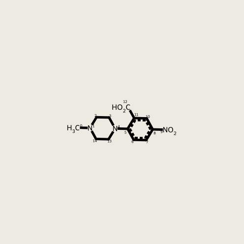 CN1CCN(c2ccc([N+](=O)[O-])cc2C(=O)O)CC1